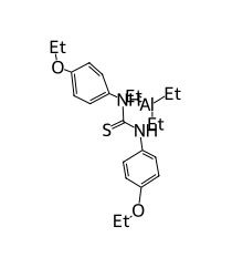 CCOc1ccc(NC(=S)Nc2ccc(OCC)cc2)cc1.C[CH2][Al]([CH2]C)[CH2]C